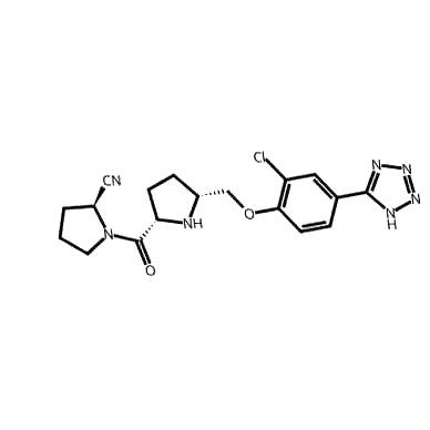 N#C[C@@H]1CCCN1C(=O)[C@@H]1CC[C@H](COc2ccc(-c3nnn[nH]3)cc2Cl)N1